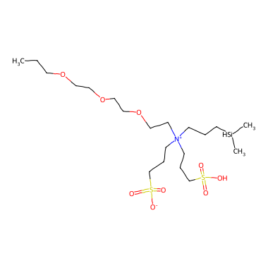 CCCOCCOCCOCC[N+](CCC[SiH](C)C)(CCCS(=O)(=O)[O-])CCCS(=O)(=O)O